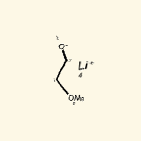 COCC[O-].[Li+]